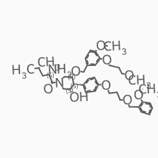 COCCCOc1cc(CO[C@H]2CN(C(=O)[C@@H](N)CC(C)C)C[C@@H](O)[C@@H]2c2ccc(OCCCOCc3ccccc3OC)cc2)ccc1OC